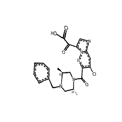 C[C@@H]1CN(Cc2ccccc2)[C@@H](C)CN1C(=O)c1nn2c(C(=O)C(=O)O)cnc2cc1Cl